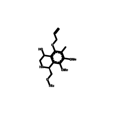 C=CCOc1c(C)c(OC)c(OC)c2c1C(O)CN[C@@H]2COCCCC